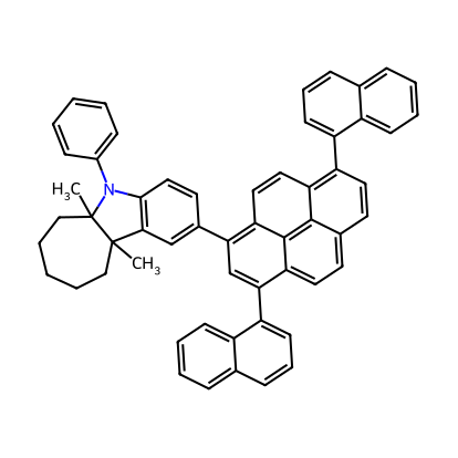 CC12CCCCCC1(C)N(c1ccccc1)c1ccc(-c3cc(-c4cccc5ccccc45)c4ccc5ccc(-c6cccc7ccccc67)c6ccc3c4c56)cc12